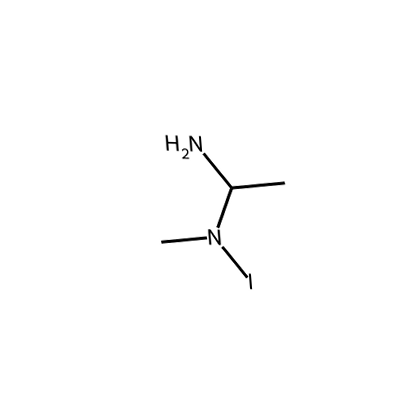 CC(N)N(C)I